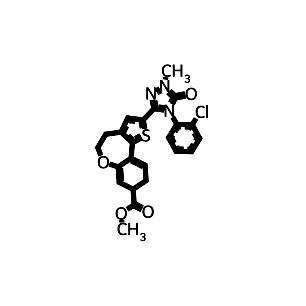 COC(=O)C1C=C2OCCc3cc(-c4nn(C)c(=O)n4-c4ccccc4Cl)sc3C2=CC1